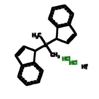 C[Si](C)(C1C=Cc2ccccc21)C1C=Cc2ccccc21.Cl.Cl.[Hf]